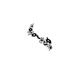 Cc1ccc(OCC(F)(F)F)c(N2C(=O)CS/C2=N\C(=O)NCCc2ccc(NC(=O)Nc3ccc(OC(F)(F)F)cc3)cc2)c1